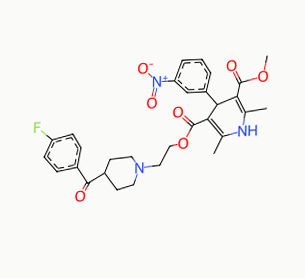 COC(=O)C1=C(C)NC(C)=C(C(=O)OCCN2CCC(C(=O)c3ccc(F)cc3)CC2)C1c1cccc([N+](=O)[O-])c1